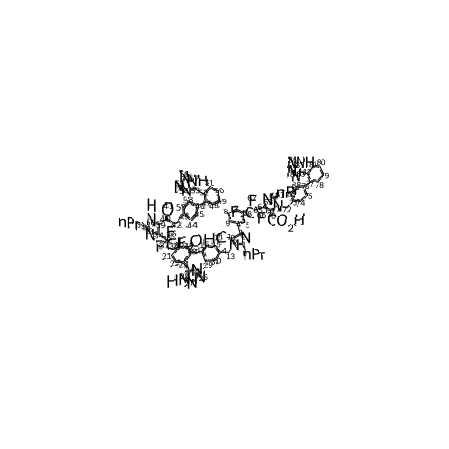 CCCc1nc(-c2ccccc2)c(C=O)n1Cc1ccc(-c2ccccc2-c2nnn[nH]2)cc1.CCCc1nc(C(F)(F)C(F)(F)F)c(C(=O)Cc2ccc(-c3ccccc3-c3nnn[nH]3)cc2)[nH]1.CCCc1nc(C(F)(F)C(F)(F)F)c(C(=O)O)n1Cc1ccc(-c2ccccc2-c2nnn[nH]2)cc1